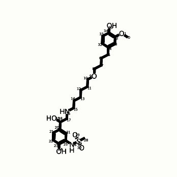 COc1cc(CCCCOCCCCCCNCC(O)c2ccc(O)c(NS(C)(=O)=O)c2)ccc1O